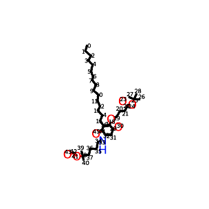 CCCCCCCCCCCCCCCCC1=C(OCCCC(=O)OC(C)(C)C)C(=O)C=C(NCCCCC(C)(C)OC=O)C1=O